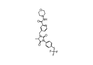 CC1C(=O)N(c2ccc(SC(F)(F)F)cc2)C(=O)N1Cc1ccnc(C(=O)NN2CCOCC2)c1